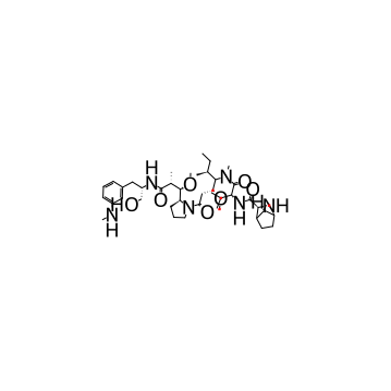 CC[C@H](C)C([C@@H](CC(=O)N1CCC[C@H]1[C@H](OC)[C@@H](C)C(=O)N[C@H](CO)Cc1cccc(NC)c1)OC)N(C)C(=O)[C@@H](NC(=O)[C@H]1NC2CCC1[C@@H]2C)C(C)C